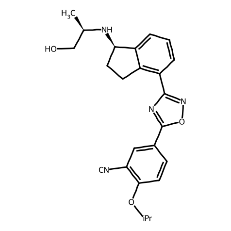 [C-]#[N+]c1cc(-c2nc(-c3cccc4c3CC[C@H]4N[C@H](C)CO)no2)ccc1OC(C)C